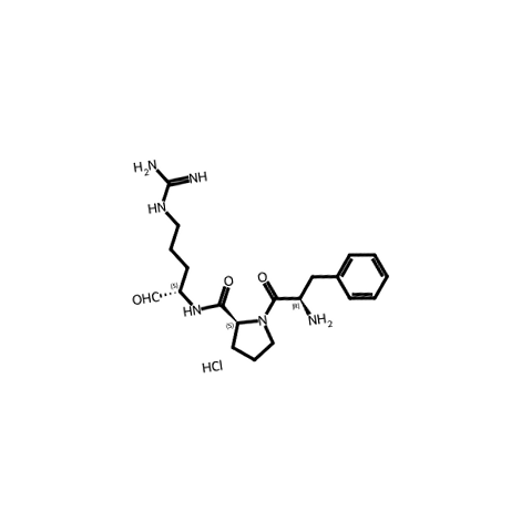 Cl.N=C(N)NCCC[C@@H](C=O)NC(=O)[C@@H]1CCCN1C(=O)[C@H](N)Cc1ccccc1